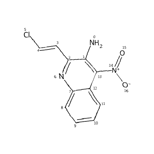 Nc1c(/C=C/Cl)nc2ccccc2c1[N+](=O)[O-]